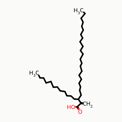 C=C(C(=O)O)C(CCCCCCCCCCCC)CCCCCCCCCCCCCCCCCCCCCC